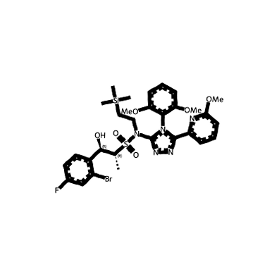 COc1cccc(-c2nnc(N(CC[Si](C)(C)C)S(=O)(=O)[C@H](C)[C@H](O)c3ccc(F)cc3Br)n2-c2c(OC)cccc2OC)n1